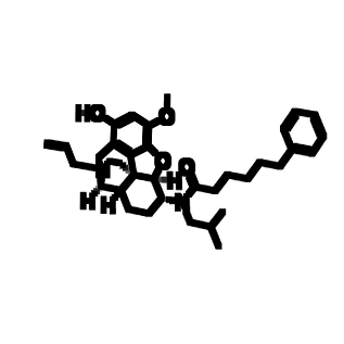 C=CCN1CC[C@]23c4c5c(O)cc(OC)c4O[C@H]2[C@H](N(CC(C)C)C(=O)CCCCCc2ccccc2)CC[C@H]3[C@H]1C5